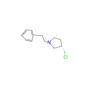 ClC[C@H]1CCN(CCc2ccccc2)C1